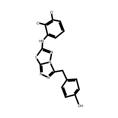 Oc1ccc(Cc2nnc3sc(Nc4cccc(Cl)c4Cl)nn23)cc1